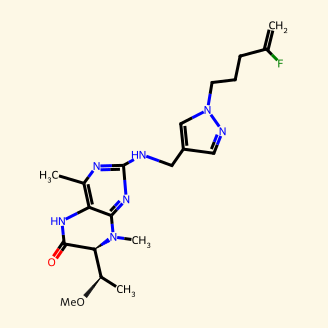 C=C(F)CCCn1cc(CNc2nc(C)c3c(n2)N(C)[C@@H]([C@@H](C)OC)C(=O)N3)cn1